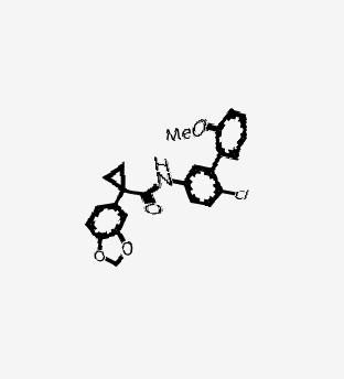 COc1ccccc1-c1cc(NC(=O)C2(c3ccc4c(c3)OCO4)CC2)ccc1Cl